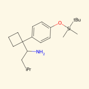 CC(C)CC(N)C1(c2ccc(O[Si](C)(C)C(C)(C)C)cc2)CCC1